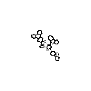 c1ccc2c(c1)oc1cc(-c3cc(-n4c5ccccc5c5ccccc54)cc(-c4cccc5c4sc4cc6c7ccccc7c7ccccc7c6cc45)n3)ccc12